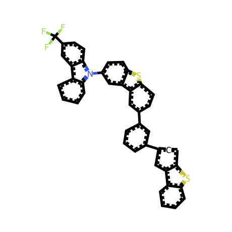 FC(F)(F)c1ccc2c(c1)c1ccccc1n2-c1ccc2sc3ccc(-c4cccc(-c5ccc6sc7ccccc7c6c5)c4)cc3c2c1